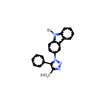 CCOC(=O)c1nnn(-c2ccc3c(c2)c2ccccc2n3CC)c1-c1ccccc1